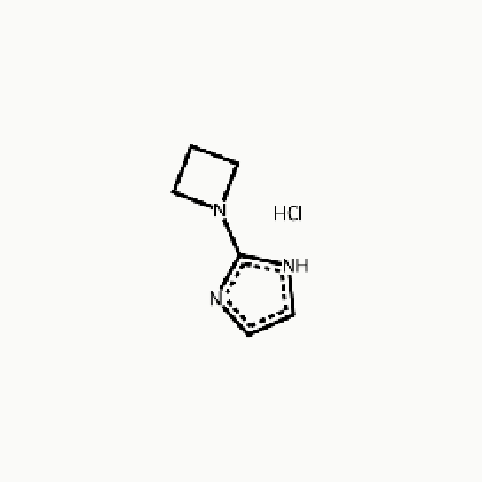 Cl.c1c[nH]c(N2CCC2)n1